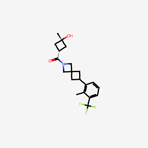 Cc1c(C2CC3(C2)CN(C(=O)[C@H]2C[C@@](C)(O)C2)C3)cccc1C(F)(F)F